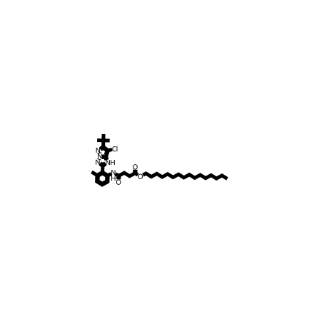 CCCCCCCCCCCCCCCCOC(=O)CCC(=O)Nc1cccc(C)c1-c1nn2nc(C(C)(C)C)c(Cl)c2[nH]1